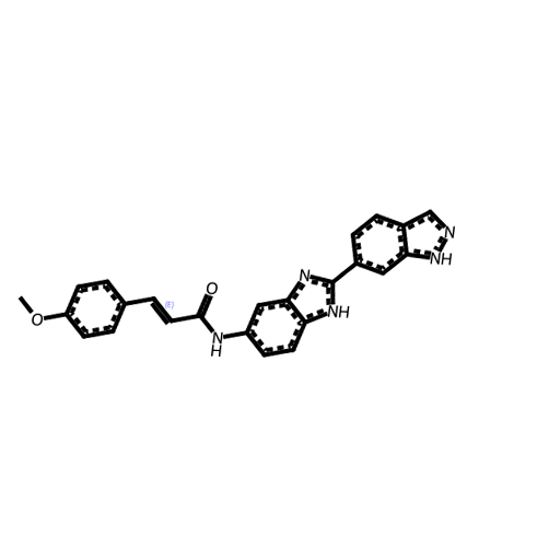 COc1ccc(/C=C/C(=O)Nc2ccc3[nH]c(-c4ccc5cn[nH]c5c4)nc3c2)cc1